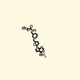 CC(C)(C)OC(=O)NCC1CCCN(CC2CCC(n3ccc4c(N)ncnc43)O2)C1